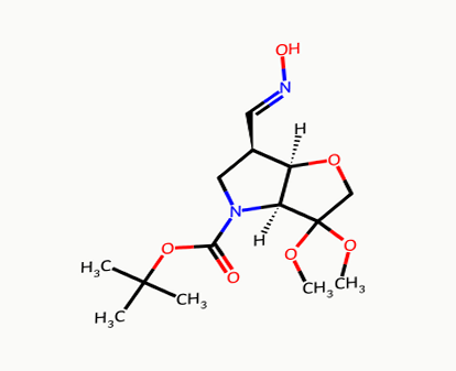 COC1(OC)CO[C@@H]2[C@H](C=NO)CN(C(=O)OC(C)(C)C)[C@@H]21